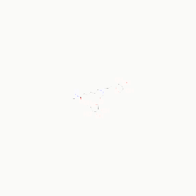 CCNC(=O)CCCCCN(CCC[C@@H]1O[C@@H](C)[C@@H](O)[C@@H](O)[C@@H]1O)CCO[C@@H]1O[C@H](CO)[C@@H](O)[C@H](O)[C@@H]1O